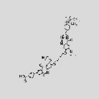 COc1cc2c(cc1OCCCCCOc1cc3c(cc1OC)C(=O)N1C=C(c4ccc(C(=O)O)cc4)C[C@H]1C=N3)N=C[C@@H]1CC(c3ccc(NC(C)(C)C)cc3)=CN1C2=O